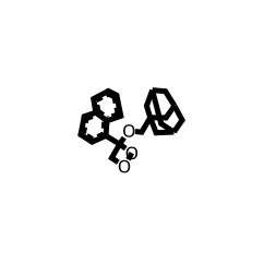 c1ccc2c(C3(OCC45CC6CC(CC(C6)C4)C5)COO3)cccc2c1